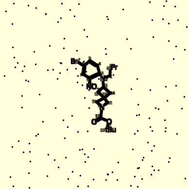 CC(C)CN(c1ccc(Br)cc1[N+](=O)[O-])C1CC2(C1)CN(C(=O)OC(C)(C)C)C2